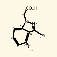 CCc1nn(CC(=O)O)c2cccc(Cl)c12